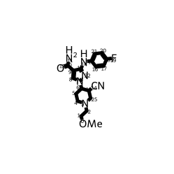 COCCN1CCC(n2cc(C(N)=O)c(Nc3ccc(F)cc3)n2)C(C#N)C1